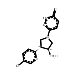 O=C(O)[C@@H]1CN(c2ccc(=O)[nH]n2)C[C@H]1c1ccc(Cl)cn1